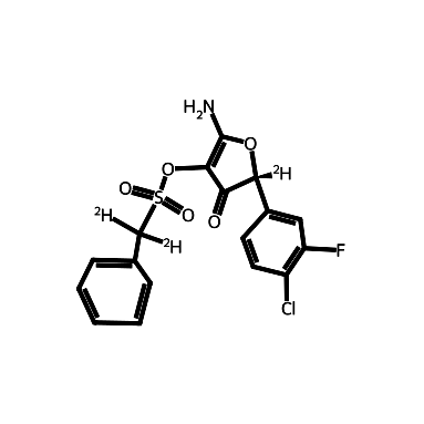 [2H]C([2H])(c1ccccc1)S(=O)(=O)OC1=C(N)O[C@]([2H])(c2ccc(Cl)c(F)c2)C1=O